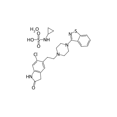 O.O=C1Cc2cc(CCN3CCN(c4nsc5ccccc45)CC3)c(Cl)cc2N1.O=S(=O)(O)NC1CC1